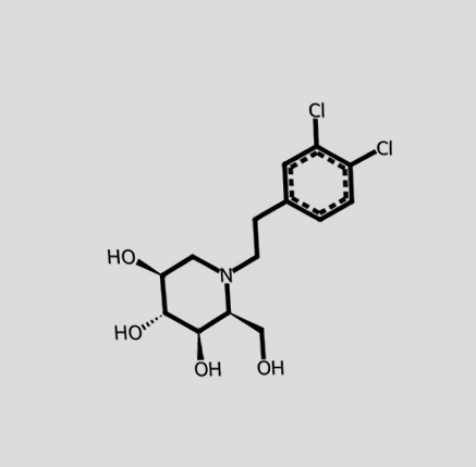 OC[C@H]1[C@@H](O)[C@H](O)[C@@H](O)CN1CCc1ccc(Cl)c(Cl)c1